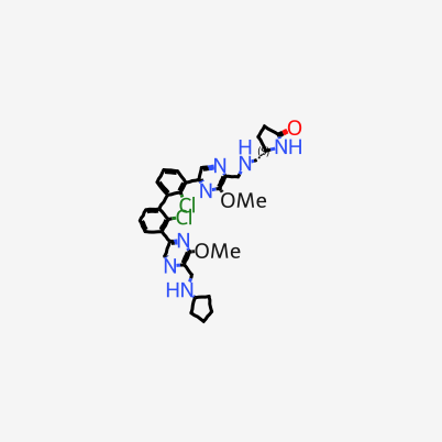 COc1nc(-c2cccc(-c3cccc(-c4cnc(CNC5CCCC5)c(OC)n4)c3Cl)c2Cl)cnc1CNC[C@@H]1CCC(=O)N1